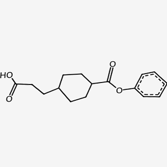 O=C(O)CCC1CCC(C(=O)Oc2ccccc2)CC1